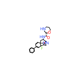 N#CC(CC1(C#N)C=CC(c2ccccc2)=CC1(F)C1CC1)NC(=O)[C@@H]1CNCCCO1